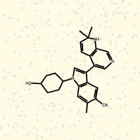 Cc1cc2c(cc1C#N)c(-c1cncc3c1C=CC(C)(C)N3)cn2C1CCC(O)CC1